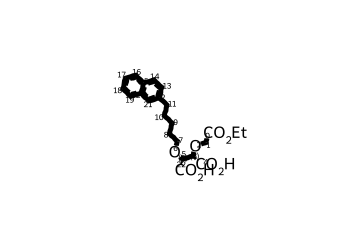 CCOC(=O)CO[C@@H](C(=O)O)[C@@H](OCCCCCc1ccc2ccccc2c1)C(=O)O